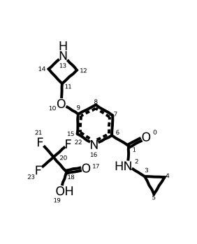 O=C(NC1CC1)c1ccc(OC2CNC2)cn1.O=C(O)C(F)(F)F